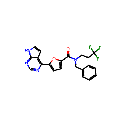 O=C(c1ccc(-c2ncnc3[nH]ccc23)o1)N(CCC(F)(F)F)Cc1ccccc1